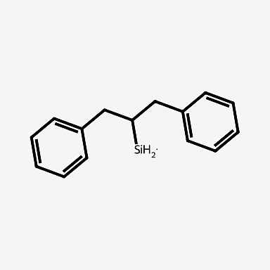 [SiH2]C(Cc1ccccc1)Cc1ccccc1